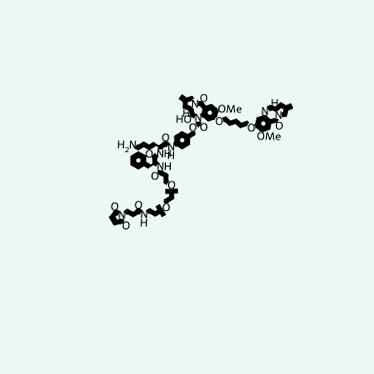 C=C1C[C@H]2C=Nc3cc(OCCCCCOc4cc5c(cc4OC)C(=O)N4CC(=C)C[C@H]4[C@H](O)N5C(=O)OCc4ccc(NC(=O)[C@H](CCCCN)NC(=O)[C@H](Cc5ccccc5)NC(=O)CCOC(C)(C)CCOC(C)(C)CCNC(=O)CCN5C(=O)C=CC5=O)cc4)c(OC)cc3C(=O)N2C1